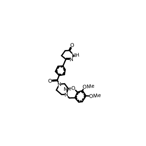 COc1ccc(CN2CCN(C(=O)c3ccc(C4=NNC(=O)CC4)cc3)CC2)c(OC)c1OC